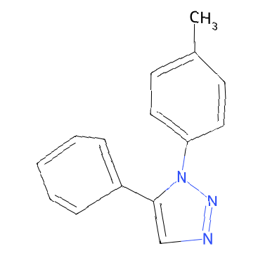 Cc1ccc(-n2nncc2-c2ccccc2)cc1